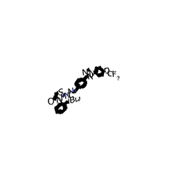 CCC(C)c1ccccc1N1C(=O)CS/C1=N\N=C\c1ccc(-c2ncn(-c3ccc(OC(F)(F)F)cc3)n2)cc1